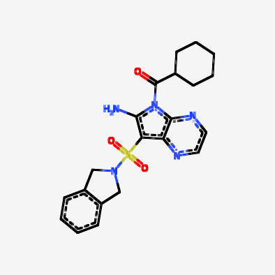 Nc1c(S(=O)(=O)N2Cc3ccccc3C2)c2nccnc2n1C(=O)C1CCCCC1